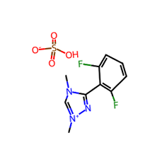 Cn1c[n+](C)nc1-c1c(F)cccc1F.O=S(=O)([O-])O